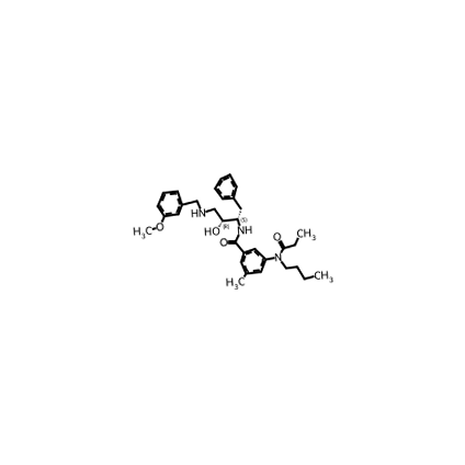 CCCCN(C(=O)CC)c1cc(C)cc(C(=O)N[C@@H](Cc2ccccc2)[C@H](O)CNCc2cccc(OC)c2)c1